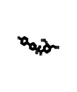 O=S(=O)(Nc1ccc(CO)c(CO)c1)c1ccc(-c2ccc(F)cc2)cc1